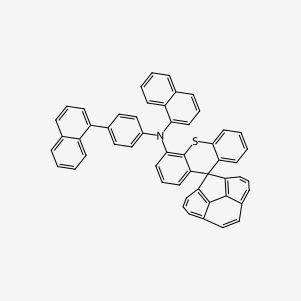 c1ccc2c(c1)Sc1c(N(c3ccc(-c4cccc5ccccc45)cc3)c3cccc4ccccc34)cccc1C21c2cccc3ccc4cccc1c4c23